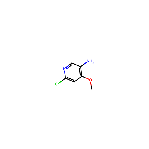 COc1cc(Cl)ncc1N